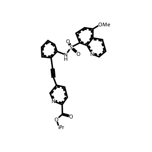 COc1ccc(S(=O)(=O)Nc2ccccc2C#Cc2ccc(C(=O)OC(C)C)nc2)c2ncccc12